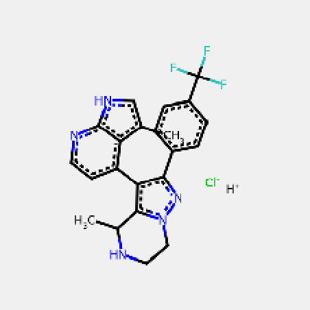 Cc1c[nH]c2nccc(-c3c(-c4ccc(C(F)(F)F)cc4)nn4c3C(C)NCC4)c12.[Cl-].[H+]